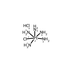 Cl.[NH2][Pt]([NH2])([NH2])([NH2])([NH2])[Cl]